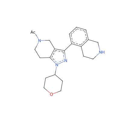 CC(=O)N1CCc2c(c(-c3cccc4c3CCNC4)nn2C2CCOCC2)C1